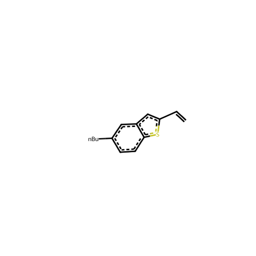 C=Cc1cc2cc(CCCC)ccc2s1